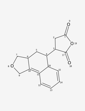 O=C1CC(C2CC3COCC3=C3C=CC=CC32)C(=O)O1